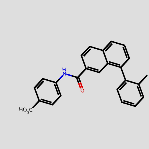 Cc1ccccc1-c1cccc2ccc(C(=O)Nc3ccc(C(=O)O)cc3)cc12